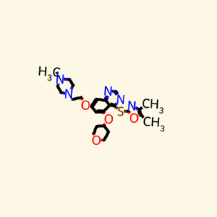 Cc1nc(Sc2ncnc3cc(OCCN4CCN(C)CC4)cc(OC4CCOCC4)c23)oc1C